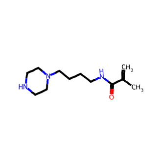 C=C(C)C(=O)NCCCCN1CCNCC1